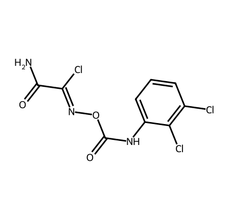 NC(=O)C(Cl)=NOC(=O)Nc1cccc(Cl)c1Cl